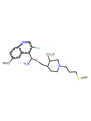 CCCSCCCN1CCC(CCC(N)c2c(F)cnc3ccc(OC)cc23)C(C(=O)O)C1